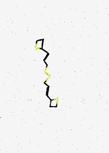 C(=CC1CCS1)CSSCC=CC1CCS1